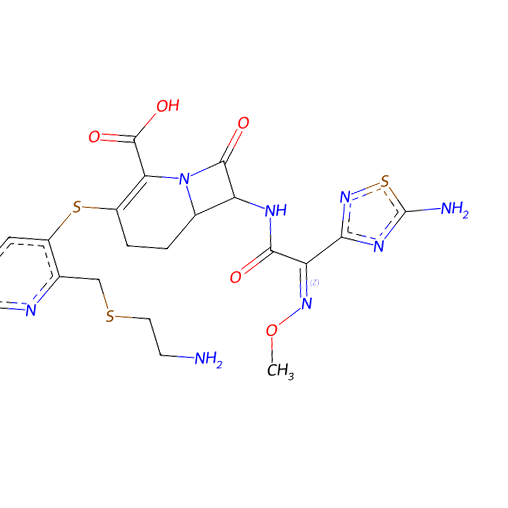 CO/N=C(\C(=O)NC1C(=O)N2C(C(=O)O)=C(Sc3cccnc3CSCCN)CCC12)c1nsc(N)n1